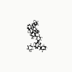 c1ccc(-c2nc(-c3ccccc3)nc(-c3cccc(-c4ccc5c(c4)C4(c6ccccc6O5)c5ccccc5-c5c4ccc4occc54)c3)n2)cc1